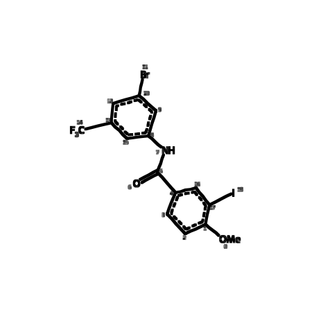 COc1ccc(C(=O)Nc2cc(Br)cc(C(F)(F)F)c2)cc1I